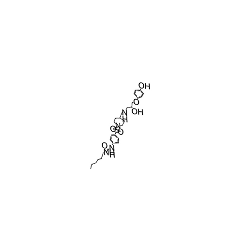 CCCCCCNC(=O)Nc1ccc(S(=O)(=O)N2CCC(CNC[C@H](O)COc3ccc(O)cc3)CC2)cc1